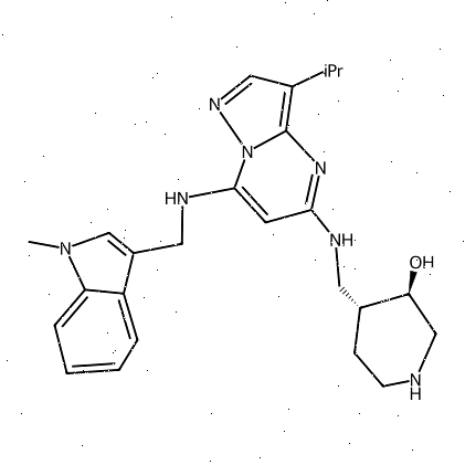 CC(C)c1cnn2c(NCc3cn(C)c4ccccc34)cc(NC[C@H]3CCNC[C@@H]3O)nc12